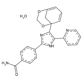 NC(=O)c1ccc(-c2nc(C34C=CC=C(C3)OCO4)c(-c3ccccn3)[nH]2)cc1.O